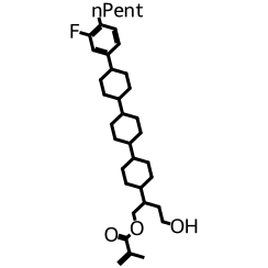 C=C(C)C(=O)OCC(CCO)C1CCC(C2CCC(C3CCC(c4ccc(CCCCC)c(F)c4)CC3)CC2)CC1